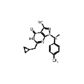 C[C@@H](c1ccc(C(F)(F)F)cc1)n1nc(C#N)c2c(=O)[nH]c(CC3CC3)nc21